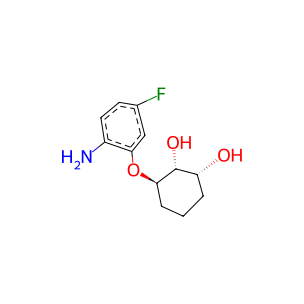 Nc1ccc(F)cc1O[C@@H]1CCC[C@@H](O)[C@H]1O